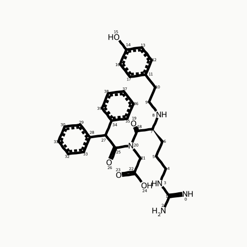 N=C(N)NCCC[C@H](NCCc1ccc(O)cc1)C(=O)N(CC(=O)O)C(=O)C(c1ccccc1)c1ccccc1